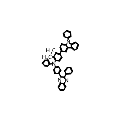 Cc1c(-c2ccc3c(c2)c2ccccc2n3-c2ccccc2)ccc(N(c2ccccc2)c2ccc(-c3nc4ccccc4nc3-c3ccccc3)cc2)c1C